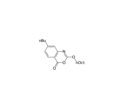 CCCCCCCCOc1nc2cc(CCCC)ccc2c(=O)o1